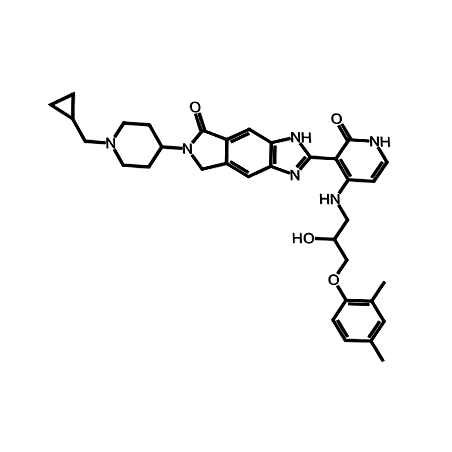 Cc1ccc(OCC(O)CNc2cc[nH]c(=O)c2-c2nc3cc4c(cc3[nH]2)C(=O)N(C2CCN(CC3CC3)CC2)C4)c(C)c1